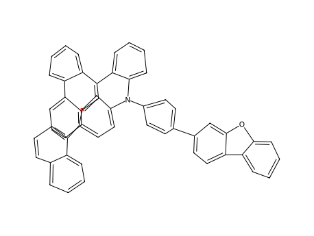 c1ccc(N(c2ccc(-c3ccc4c(c3)oc3ccccc34)cc2)c2ccc(-c3cccc4ccccc34)cc2)c(-c2cc3ccccc3c3ccccc23)c1